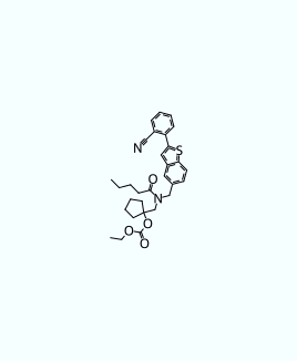 CCCCC(=O)N(Cc1ccc2sc(-c3ccccc3C#N)cc2c1)CC1(OC(=O)OCC)CCCC1